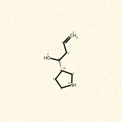 C=CCC(O)[C@H]1CCNC1